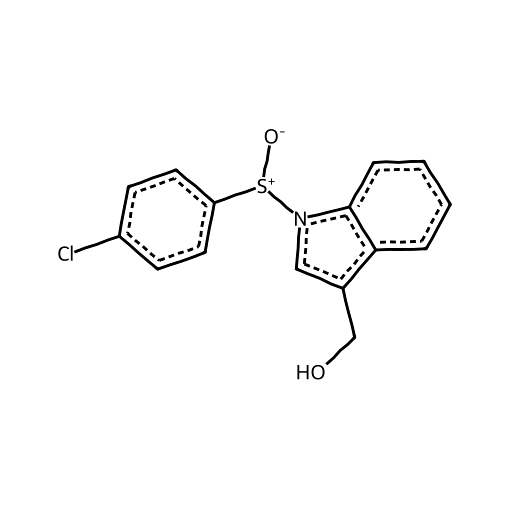 [O-][S+](c1ccc(Cl)cc1)n1cc(CO)c2ccccc21